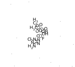 CCOC(=O)C(CC(=O)O)(OC[C@H]1O[C@@H](n2cnc3c(N)nc(Cl)nc32)[C@@H](F)[C@@H]1O)C(C)=O